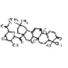 CC(C)OC(=O)C1OC(C(=O)C23CCC4C(=CCC5C4(C)CCC4C(C)(C)C(=O)CCC45C)C2CC(C)(C)CC3)C(O)C2OC12